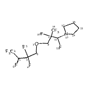 FC(C(F)(F)F)C(F)(F)COCC(F)(C(F)N1CCCC1)C(F)(F)F